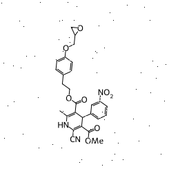 COC(=O)C1=C(C#N)NC(C)=C(C(=O)OCCc2ccc(OCC3CO3)cc2)C1c1cccc([N+](=O)[O-])c1